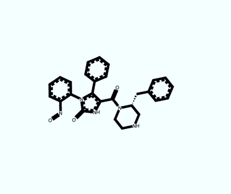 O=Nc1ccccc1-n1c(-c2ccccc2)c(C(=O)N2CCNC[C@H]2Cc2ccccc2)[nH]c1=O